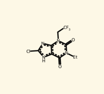 CCn1c(=O)c2[nH]c(Cl)nc2n(CC(F)(F)F)c1=O